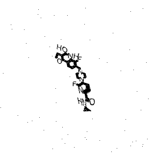 O=C(NC1CC1)c1ccc(N2CCN(Cc3ccc4c(c3F)NC(O)C3=C4OCC3)CC2)c(F)n1